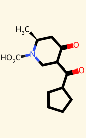 C[C@H]1CC(=O)C(C(=O)C2CCCC2)CN1C(=O)O